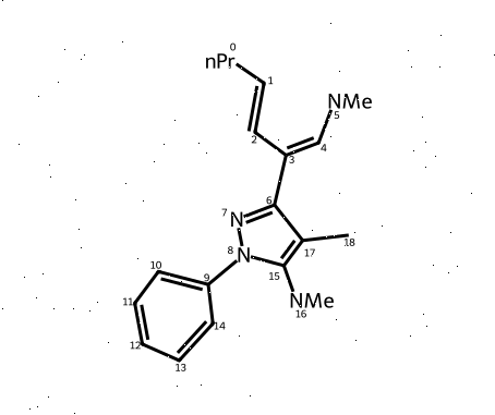 CCC/C=C/C(=C\NC)c1nn(-c2ccccc2)c(NC)c1C